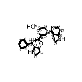 Cl.O=C(NC(c1ccccc1)[C@H]1CCCN1)C1=CN(c2ncnc3[nH]cnc23)CCS1